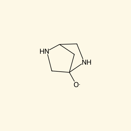 [O]C12CNC(CN1)C2